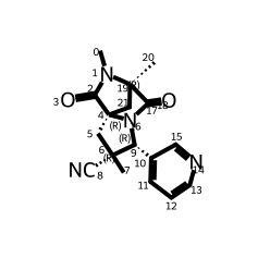 CN1C(=O)[C@]23C[C@@](C)(C#N)[C@@H](c4cccnc4)N2C(=O)[C@@]1(C)C3